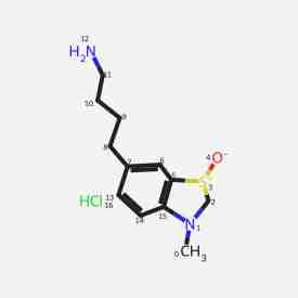 CN1C[S+]([O-])c2cc(CCCCN)ccc21.Cl